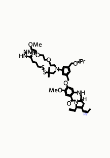 C=CC1=C(/C=C\C)C[C@H]2CNc3cc(OCc4cc(COC(C)C)cc(N(CCOCCOCCOC)CC(C)(C)SSCCCC(=O)NNC)c4)c(OC)cc3C(=O)N12